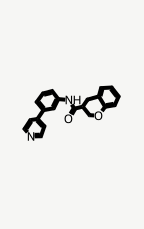 O=C(Nc1cccc(-c2ccncc2)c1)C1COc2ccccc2C1